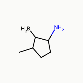 BC1C(C)CCC1N